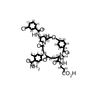 Cc1cc(N2CC(=O)N3C[C@H](NC(=O)c4cccc(Cl)c4)C[C@H]3COc3ccc(cc3)C(=O)N(C)[C@H](C(=O)NCCC(=O)O)CCC2=O)ccc1C(N)=O